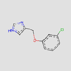 Clc1cccc(OCc2c[nH]cn2)c1